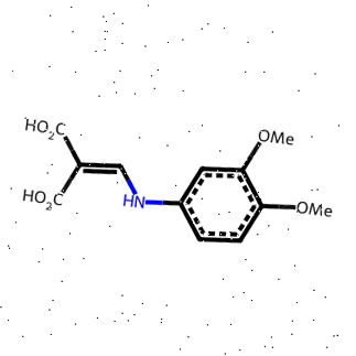 COc1ccc(NC=C(C(=O)O)C(=O)O)cc1OC